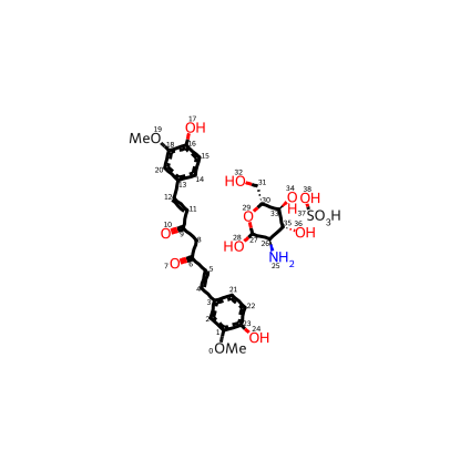 COc1cc(/C=C/C(=O)CC(=O)/C=C/c2ccc(O)c(OC)c2)ccc1O.N[C@H]1C(O)O[C@H](CO)[C@@H](O)[C@@H]1O.O=S(=O)(O)O